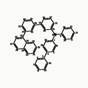 c1ccc(-c2ccc(N(c3ccccc3)c3cccc(-c4cccc(-c5cccc6ccccc56)c4)c3)cc2)cc1